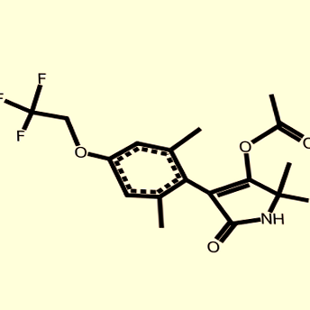 CC(=O)OC1=C(c2c(C)cc(OCC(F)(F)F)cc2C)C(=O)NC1(C)C